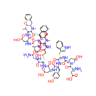 CCCC[C@@H](C(=O)N1C[C@H](O)C[C@@H]1C(=O)N[C@@H](CC(=O)O)C(=O)N[C@H](C(=O)N(C)C(C=O)Cc1ccccc1)C(C)C)N(C)C(=O)[C@H](Cc1ccccc1)N(C)C(=O)[C@H](Cc1cc(F)c(F)c(F)c1)NC(=O)CSC[C@H](NC(=O)[C@H](CC(=O)O)NC(=O)[C@H](Cc1ccc(O)cc1)NC(=O)[C@H](Cc1c[nH]c2ccccc12)NC(=O)[C@H]1C[C@@H](O)CN1C(=O)[C@@H](N)CC(=O)O)C(=O)NCC(N)=O